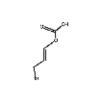 O=C(O)OC=CCBr